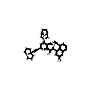 C#Cc1cccc2cc(O)cc(-c3ncc4c(N5CC6CCC(C5)N6)cc(C#CC56CCCN5CCC6)nc4c3F)c12